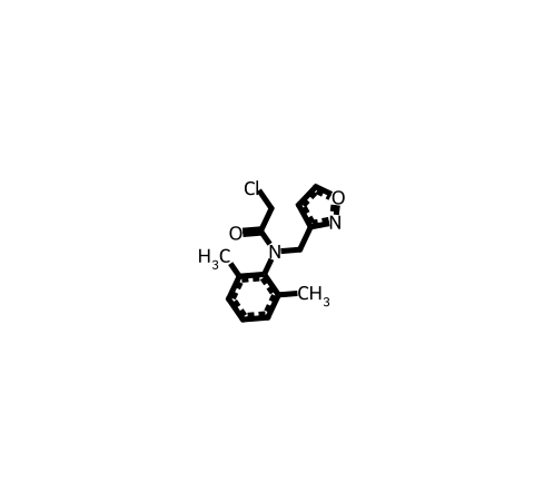 Cc1cccc(C)c1N(Cc1ccon1)C(=O)CCl